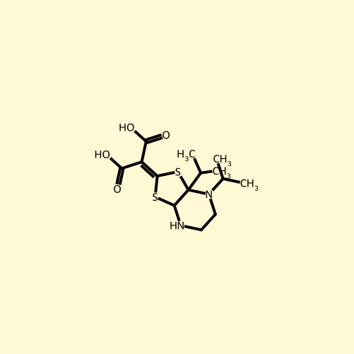 CC(C)N1CCNC2SC(=C(C(=O)O)C(=O)O)SC21C(C)C